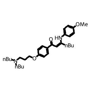 CCCCC(=CC(=O)c1ccc(OCCCN(CCCC)CCCC)cc1)Nc1ccc(OC)cc1